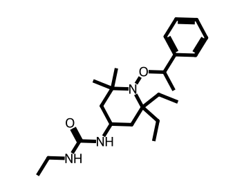 CCNC(=O)NC1CC(C)(C)N(OC(C)c2ccccc2)C(CC)(CC)C1